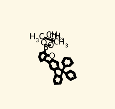 CC1(C)OB(c2cccc3c2oc2cc4c(cc23)-c2ccccc2C4(c2ccccc2)c2ccccc2)OC1(C)C